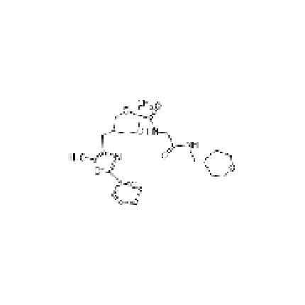 Cc1oc(-c2ccccc2)nc1CC1COC(C)(C(=O)NCC(=O)NCC2CCOCC2)OC1